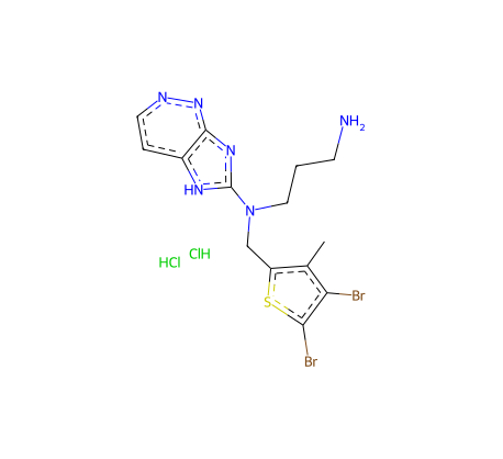 Cc1c(CN(CCCN)c2nc3nnccc3[nH]2)sc(Br)c1Br.Cl.Cl